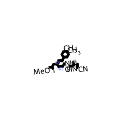 COCC(I)CC(/C=C\CNC(=O)c1ncc(C#N)[nH]1)=C/CC1=CCC(C)(C)CC1